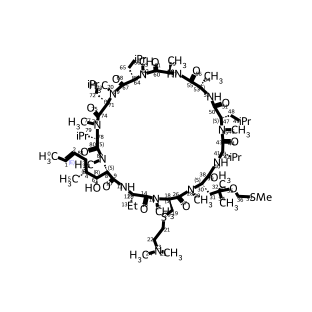 C/C=C/C[C@@H](C)[C@@H](O)[C@H]1C(=O)N[C@@H](CC)C(=O)N(C)[C@H](CSCCN(C)C)C(=O)N(C)[C@@H](CC(C)(C)OCSC)C(=O)N[C@@H](C(C)C)C(=O)N(C)[C@@H](CC(C)C)C(=O)N[C@@H](C)C(=O)N[C@H](C)C(=O)N(C)[C@@H](CC(C)C)C(=O)N(C)[C@@H](CC(C)C)C(=O)N(C)[C@@H](C(C)C)C(=O)N1C